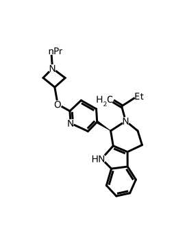 C=C(CC)N1CCc2c([nH]c3ccccc23)[C@H]1c1ccc(OC2CN(CCC)C2)nc1